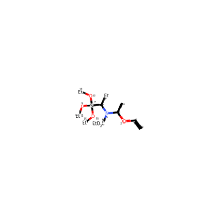 C=COC(C)N(C(=O)OCC)C(CC)[Si](OCC)(OCC)OCC